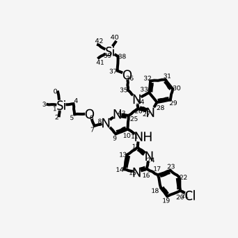 C[Si](C)(C)CCOCn1cc(Nc2ccnc(-c3ccc(Cl)cc3)n2)c(-c2nc3ccccc3n2COCC[Si](C)(C)C)n1